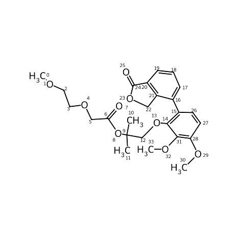 COCCOCC(=O)OC(C)(C)COc1c(-c2cccc3c2COC3=O)ccc(OC)c1OC